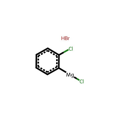 Br.[Cl][Mg][c]1ccccc1Cl